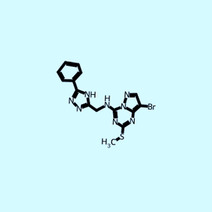 CSc1nc(NCc2nnc(-c3ccccc3)[nH]2)n2ncc(Br)c2n1